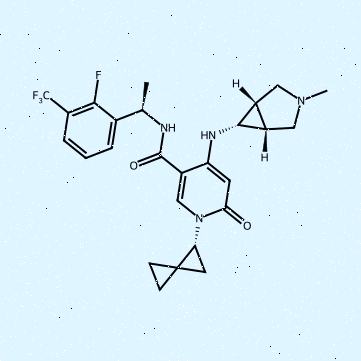 C[C@@H](NC(=O)c1cn([C@@H]2CC23CC3)c(=O)cc1N[C@@H]1[C@@H]2CN(C)C[C@@H]21)c1cccc(C(F)(F)F)c1F